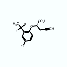 C#CC[C@H](Oc1ccc(Cl)cc1C(C)(F)F)C(=O)O